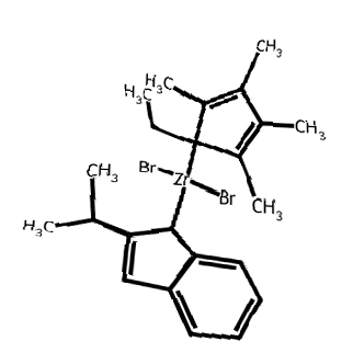 CC[C]1([Zr]([Br])([Br])[CH]2C(C(C)C)=Cc3ccccc32)C(C)=C(C)C(C)=C1C